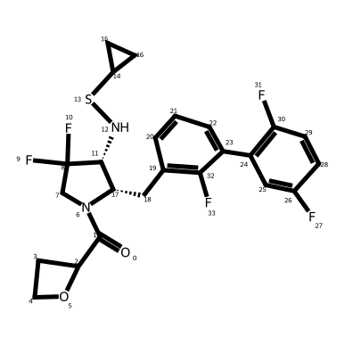 O=C(C1CCO1)N1CC(F)(F)[C@H](NSC2CC2)[C@@H]1Cc1cccc(-c2cc(F)ccc2F)c1F